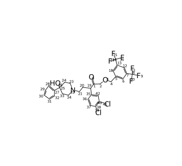 O=C(COCc1cc(C(F)(F)F)cc(C(F)(F)F)c1)C(CCN1CCC(O)(c2ccccc2)CC1)c1ccc(Cl)c(Cl)c1